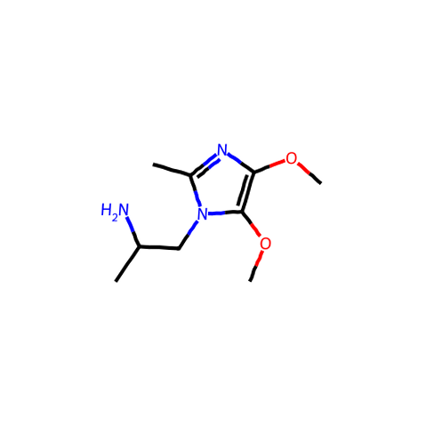 COc1nc(C)n(CC(C)N)c1OC